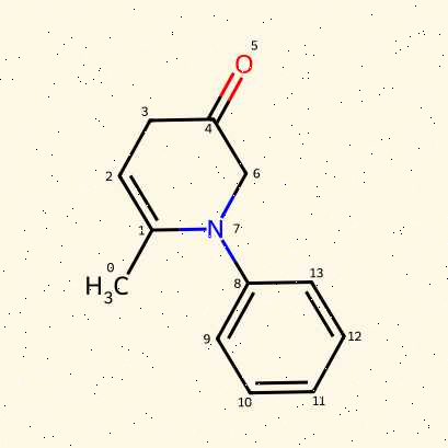 CC1=CCC(=O)CN1c1ccccc1